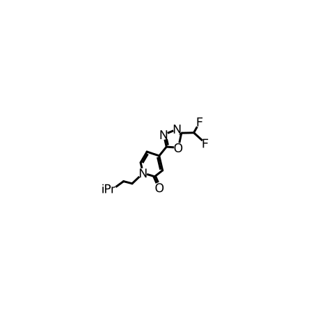 CC(C)CCn1ccc(-c2nnc(C(F)F)o2)cc1=O